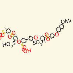 COc1ccc2cc(Oc3ccc(S(=O)(=O)c4ccc(COc5ccc(-c6ccc(Oc7ccc(S(=O)(=O)c8ccc(C)c(SOOO)c8)cc7S(=O)(=O)O)c(SOOO)c6)cc5S(=O)(=O)O)cc4)cc3)ccc2c1